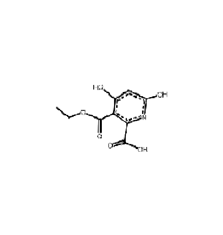 CCOC(=O)c1c(O)cc(O)nc1C(=O)O